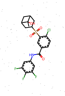 CC1(O)C2CC1CC(S(=O)(=O)c1cc(C(=O)Nc3cc(F)c(F)c(F)c3)ccc1Cl)C2